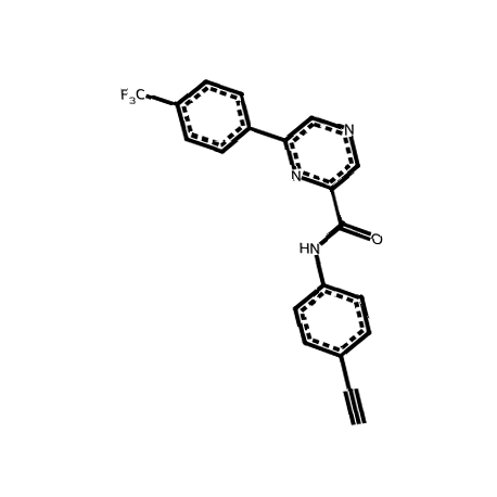 C#Cc1ccc(NC(=O)c2cncc(-c3ccc(C(F)(F)F)cc3)n2)cc1